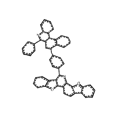 c1ccc(-c2nc3ccccc3c3c2cc(-c2ccc(-c4nc5c(ccc6c7ccccc7oc65)c5oc6ccccc6c45)cc2)c2ccccc23)cc1